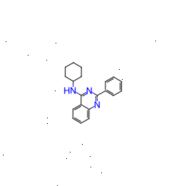 c1ccc(-c2nc(NC3CCCCC3)c3ccccc3n2)cc1